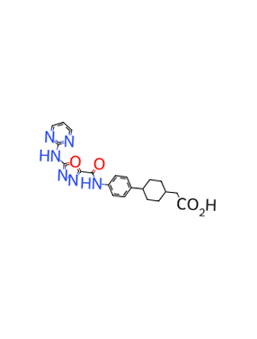 O=C(O)CC1CCC(c2ccc(NC(=O)c3nnc(Nc4ncccn4)o3)cc2)CC1